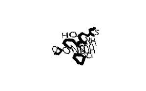 OC1CC(c2ccsc2)NC(O)C1C1(Sc2ccccc2Cl)C=CC=C(OC2CCOC2)N1